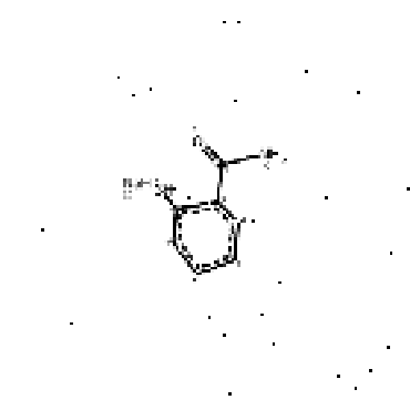 NC(=O)c1ccccc1S.[NaH]